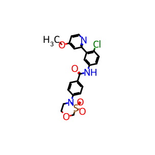 COc1ccnc(-c2cc(NC(=O)c3ccc(N4CCOCS4(=O)=O)cc3)ccc2Cl)c1